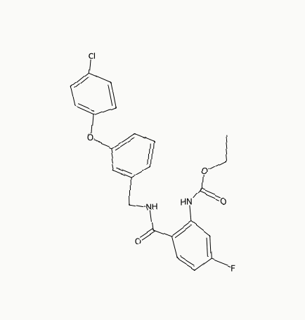 CCOC(=O)Nc1cc(F)ccc1C(=O)NCc1cccc(Oc2ccc(Cl)cc2)c1